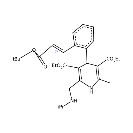 CCOC(=O)C1=C(C)NC(CNC(C)C)=C(C(=O)OCC)C1c1ccccc1/C=C/C(=O)OC(C)(C)C